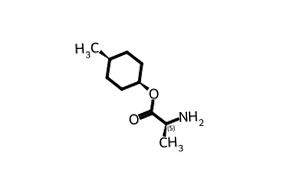 C[C@H](N)C(=O)O[C@H]1CC[C@@H](C)CC1